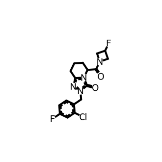 O=C(C1CCCc2nn(Cc3ccc(F)cc3Cl)c(=O)n21)N1CC(F)C1